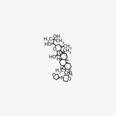 C[C@@H]1CC([C@H](O)C(C)(C)O)OC2C1[C@@]1(C)CCC34C[C@@]35CC[C@H](OC3CN([C@@H]6CCOC6)CCO3)C(C)(C)[C@@H]5CC[C@H]4C1(C)[C@H]2O